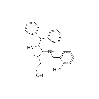 Cc1ccccc1CNC1C(CCO)CNC1C(c1ccccc1)c1ccccc1